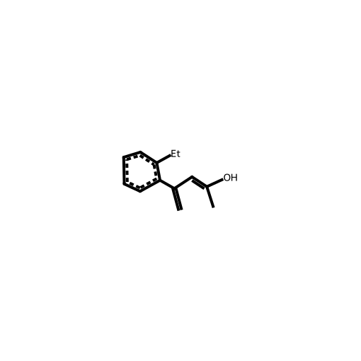 C=C(/C=C(\C)O)c1ccccc1CC